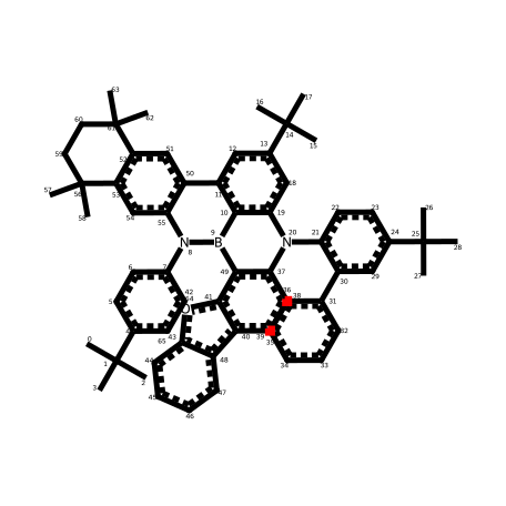 CC(C)(C)c1ccc(N2B3c4c(cc(C(C)(C)C)cc4N(c4ccc(C(C)(C)C)cc4-c4ccccc4)c4ccc5c(oc6ccccc65)c43)-c3cc4c(cc32)C(C)(C)CCC4(C)C)cc1